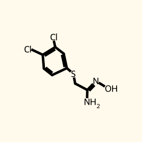 NC(CSc1ccc(Cl)c(Cl)c1)=NO